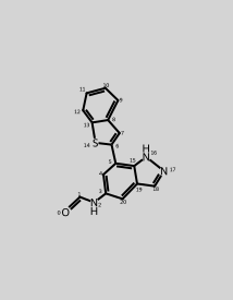 O=CNc1cc(-c2cc3ccccc3s2)c2[nH]ncc2c1